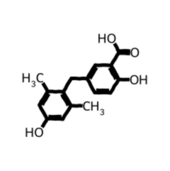 Cc1cc(O)cc(C)c1Cc1ccc(O)c(C(=O)O)c1